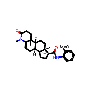 COc1ccccc1NC(=O)C1CC[C@H]2[C@@H]3CC=C4N(C)C(=O)CC[C@]4(C)[C@@H]3CC[C@]12C